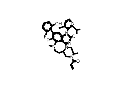 C=CC(=O)N1CC2CCN(C)c3c(F)c(-c4c(O)cccc4F)cc4c3c(nc(=O)n4-c3c(C)ccnc3C(C)C)N2CC1C